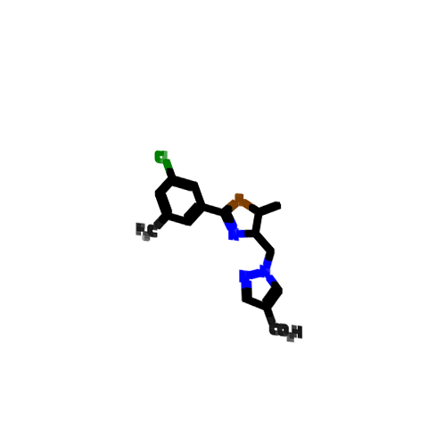 CC1SC(c2cc(Cl)cc(C(F)(F)F)c2)=NC1Cn1cc(C(=O)O)cn1